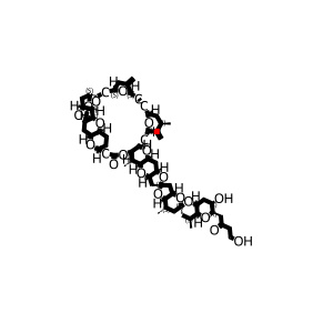 C=C1C[C@@H]2CC[C@]34C[C@H]5OC6(C[C@H]7O[C@H](CC[C@@H]7O[C@H]6[C@@H]5O3)CC(=O)O[C@@H]3[C@@H](C)[C@@H]5O[C@@H]6C[C@]7(C[C@@H]8O[C@]9(C[C@H](C)[C@@H]%10O[C@H](CC(=O)CCO)[C@H](O)C[C@@H]%10O9)C[C@H](C)[C@@H]8O7)O[C@@H]6C[C@@H]5O[C@H]3C[C@H]3O[C@@H](CC[C@@H]1O2)C[C@@H](C)C3=C)O4